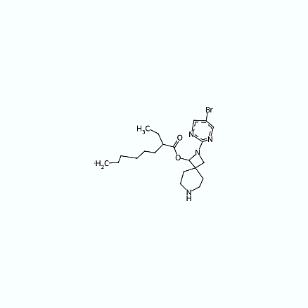 [CH2]CCCCCC(CC)C(=O)OC1N(c2ncc(Br)cn2)CC12CCNCC2